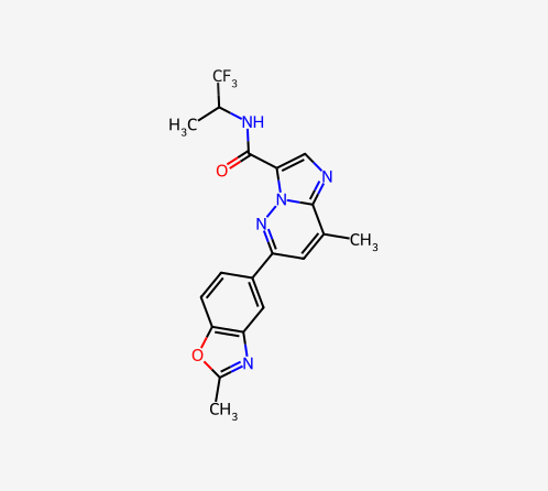 Cc1nc2cc(-c3cc(C)c4ncc(C(=O)NC(C)C(F)(F)F)n4n3)ccc2o1